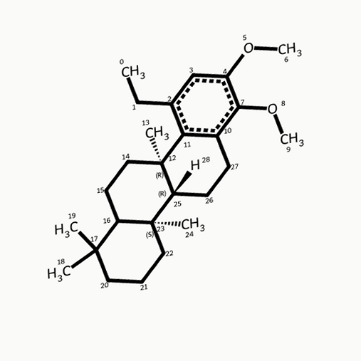 CCc1cc(OC)c(OC)c2c1[C@]1(C)CCC3C(C)(C)CCC[C@]3(C)[C@H]1CC2